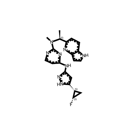 C[C@@H](c1ccc2[nH]ccc2n1)N(C)c1nccc(Nc2cc([C@@H]3C[C@@H]3F)[nH]n2)n1